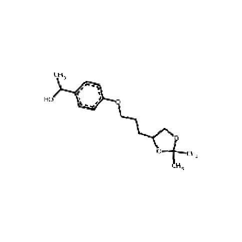 CC(O)c1ccc(OCCCC2COC(C)(C)O2)cc1